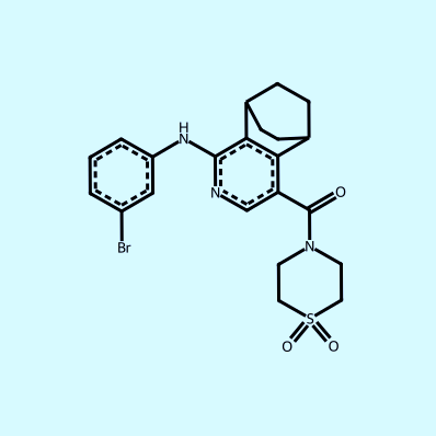 O=C(c1cnc(Nc2cccc(Br)c2)c2c1C1CCC2CC1)N1CCS(=O)(=O)CC1